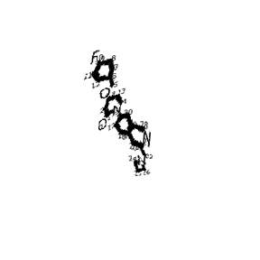 O=c1cc(OCc2ccc(F)cc2)ccn1-c1ccc2cc(CN3CCC3)ncc2c1